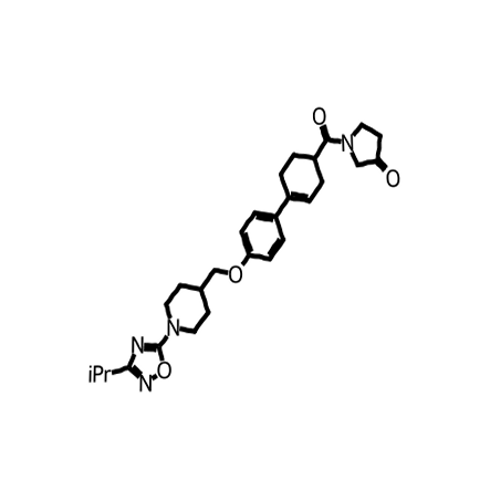 CC(C)c1noc(N2CCC(COc3ccc(C4=CCC(C(=O)N5CCC(=O)C5)CC4)cc3)CC2)n1